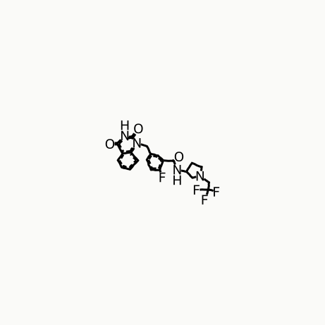 O=C(NC1CCN(CC(F)(F)F)C1)c1cc(Cn2c(=O)[nH]c(=O)c3ccccc32)ccc1F